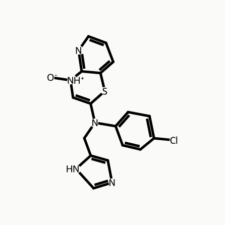 [O-][NH+]1C=C(N(Cc2cnc[nH]2)c2ccc(Cl)cc2)Sc2cccnc21